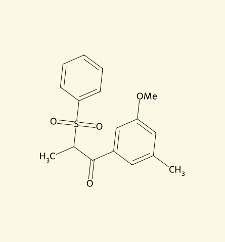 COc1cc(C)cc(C(=O)C(C)S(=O)(=O)c2ccccc2)c1